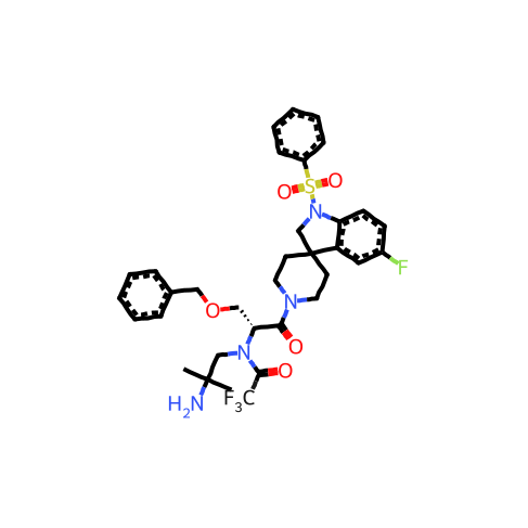 CC(C)(N)CN(C(=O)C(F)(F)F)[C@H](COCc1ccccc1)C(=O)N1CCC2(CC1)CN(S(=O)(=O)c1ccccc1)c1ccc(F)cc12